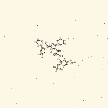 COCc1ccc(OC(F)(F)F)c(CNC(=O)Nc2c(C)c(OC[C@H]3COCCN3C(=O)OC(C)(C)C)nn2-c2ccccc2)c1